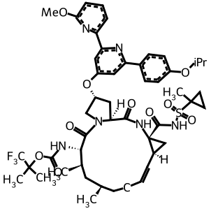 COc1cccc(-c2cc(O[C@@H]3C[C@H]4C(=O)N[C@]5(C(=O)NS(=O)(=O)C6(C)CC6)C[C@H]5/C=C\CC[C@@H](C)C[C@@H](C)[C@H](NC(=O)OC(C)(C)C(F)(F)F)C(=O)N4C3)cc(-c3ccc(OC(C)C)cc3)n2)n1